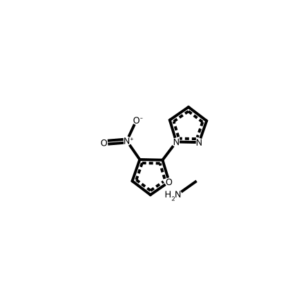 CN.O=[N+]([O-])c1ccoc1-n1cccn1